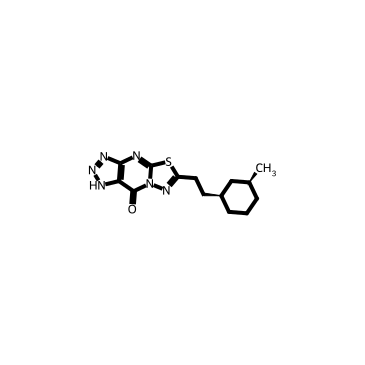 C[C@H]1CCC[C@@H](CCc2nn3c(=O)c4[nH]nnc4nc3s2)C1